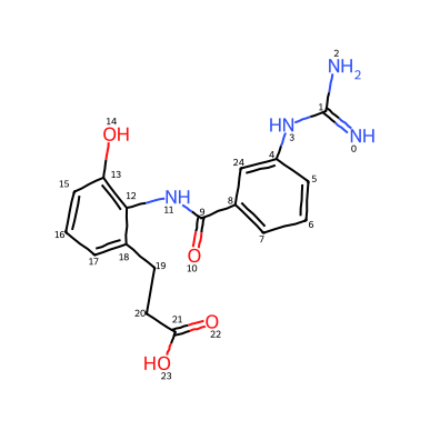 N=C(N)Nc1cccc(C(=O)Nc2c(O)cccc2CCC(=O)O)c1